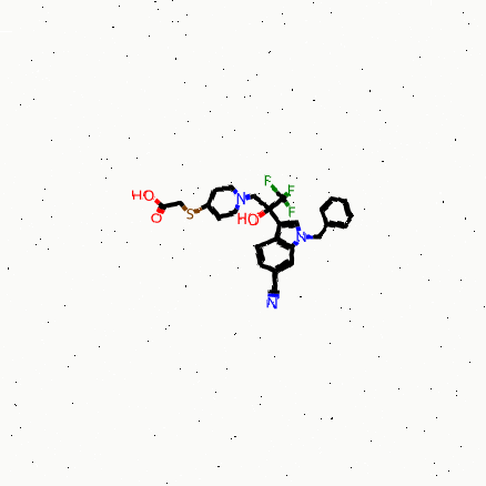 N#Cc1ccc2c(C(O)(CN3CCC(SCC(=O)O)CC3)C(F)(F)F)cn(Cc3ccccc3)c2c1